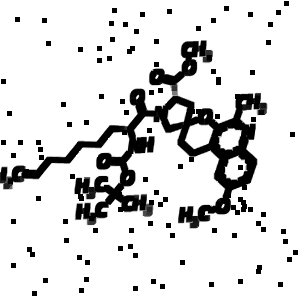 C=CCCCCC[C@H](NC(=O)OC(C)(C)C)C(=O)N1C[C@@]2(CCc3c(c(C)nc4ccc(OC)cc34)O2)C[C@H]1C(=O)OC